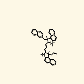 C=CCC1(C)/C(=C\C=C\C2=[N+](C)c3ccc4ccccc4c3C2(C)Cc2ccc3ccccc3c2)N(C)c2ccc3ccccc3c21